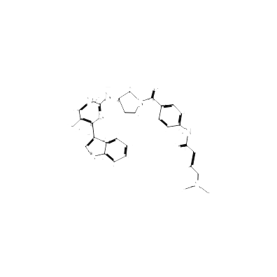 CN(C)CC=CC(=O)Nc1ccc(C(=O)N2CC[C@H](Nc3ncc(Cl)c(-c4c[nH]c5ccccc45)n3)C2)cc1